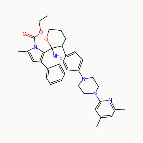 CCOC(=O)n1c(C)cc(-c2ccccc2)c1C1(N)OCCCC1c1ccc(N2CCN(c3cc(C)cc(C)n3)CC2)cc1